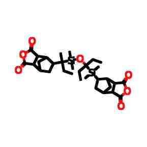 CCC(C)(C1CC2CC1C1C(=O)OC(=O)C21)[Si](C)(C)OC(CC)(CC)[Si](C)(C)C1CC2CC1C1C(=O)OC(=O)C21